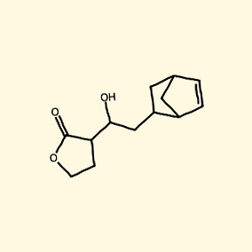 O=C1OCCC1C(O)CC1CC2C=CC1C2